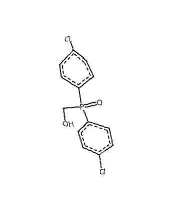 O=P(CO)(c1ccc(Cl)cc1)c1ccc(Cl)cc1